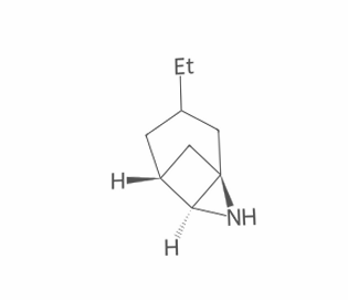 CCC1C[C@@H]2C[C@@]3(C1)N[C@@H]23